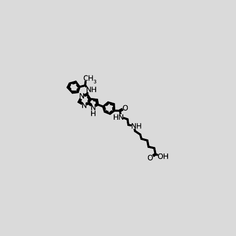 CC(Nc1ncnc2[nH]c(-c3ccc(C(=O)NCCNCCCCCCC(=O)O)cc3)cc12)c1ccccc1